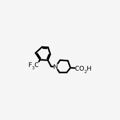 O=C(O)C1CCN(Cc2ccccc2C(F)(F)F)CC1